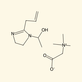 C=CCC1=NCCN1C(C)O.C[N+](C)(C)CC(=O)[O-]